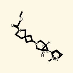 CCOC(=O)N1CCC2(CC(N3C[C@@H]4[C@H](C3)[C@@H]4c3ccnn3C)C2)C1